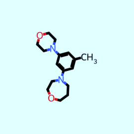 Cc1cc(N2CCCOCC2)cc(N2CCOCC2)c1